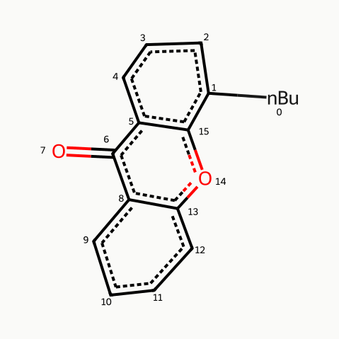 CCCCc1cccc2c(=O)c3ccccc3oc12